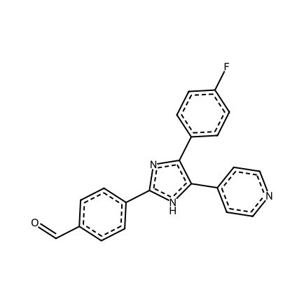 O=Cc1ccc(-c2nc(-c3ccc(F)cc3)c(-c3ccncc3)[nH]2)cc1